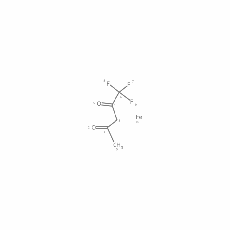 CC(=O)CC(=O)C(F)(F)F.[Fe]